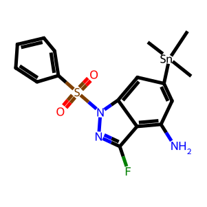 [CH3][Sn]([CH3])([CH3])[c]1cc(N)c2c(F)nn(S(=O)(=O)c3ccccc3)c2c1